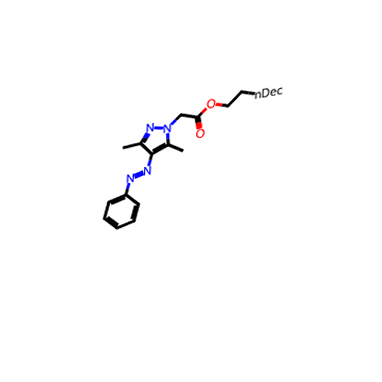 CCCCCCCCCCCCOC(=O)Cn1nc(C)c(/N=N/c2ccccc2)c1C